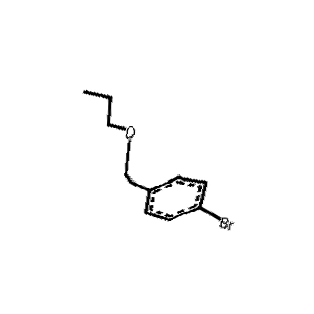 CCCOCc1ccc(Br)cc1